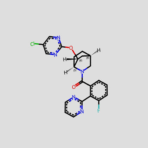 O=C(c1cccc(F)c1-c1ncccn1)N1C[C@@H]2CC[C@H]1[C@H](Oc1ncc(Cl)cn1)C2